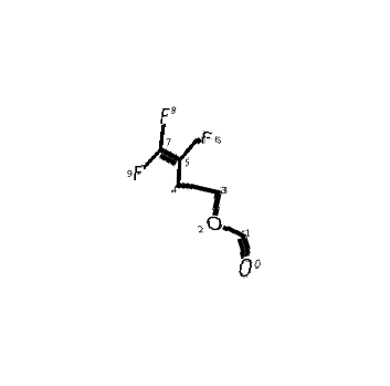 O=[C]OCCC(F)=C(F)F